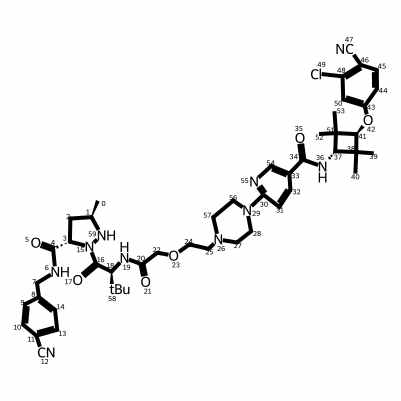 C[C@@H]1C[C@@H](C(=O)NCc2ccc(C#N)cc2)N(C(=O)[C@@H](NC(=O)COCCN2CCN(c3ccc(C(=O)N[C@H]4C(C)(C)[C@H](Oc5ccc(C#N)c(Cl)c5)C4(C)C)cn3)CC2)C(C)(C)C)N1